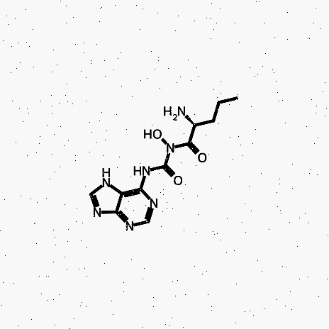 CCC[C@H](N)C(=O)N(O)C(=O)Nc1ncnc2nc[nH]c12